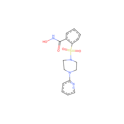 O=C(NO)c1ccccc1S(=O)(=O)N1CCN(c2ccccn2)CC1